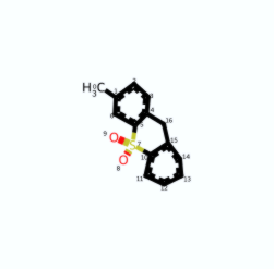 Cc1ccc2c(c1)S(=O)(=O)c1ccccc1C2